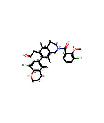 COc1c(F)cccc1C(=O)N1CCc2c(C)c(CC=O)c(-c3cc(F)c4c(c3C)CCCO4)c(C)c2C1